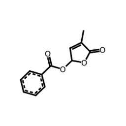 CC1=CC(OC(=O)c2ccccc2)OC1=O